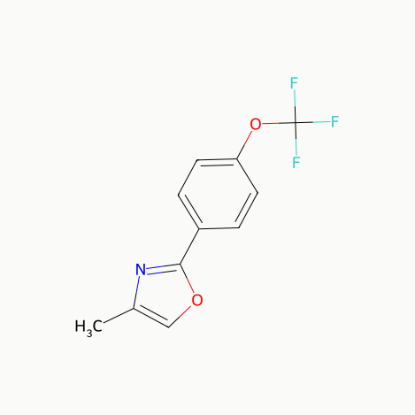 Cc1coc(-c2ccc(OC(F)(F)F)cc2)n1